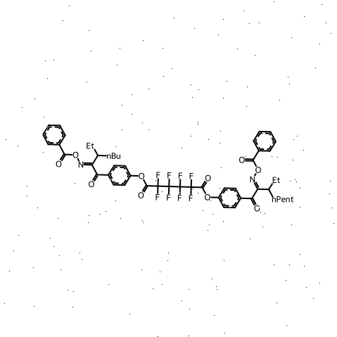 CCCCCC(CC)/C(=N\OC(=O)c1ccccc1)C(=O)c1ccc(OC(=O)C(F)(F)C(F)(F)C(F)(F)C(F)(F)C(=O)Oc2ccc(C(=O)/C(=N/OC(=O)c3ccccc3)C(CC)CCCC)cc2)cc1